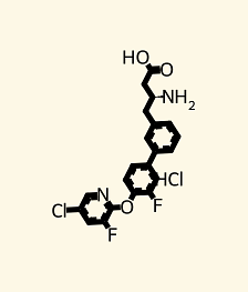 Cl.N[C@@H](CC(=O)O)Cc1cccc(-c2ccc(Oc3ncc(Cl)cc3F)c(F)c2)c1